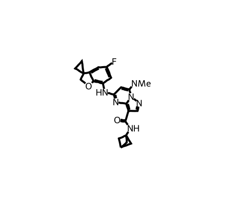 CNc1cc(Nc2cc(F)cc3c2OCC32CC2)nc2c(C(=O)NC34CC(C3)C4)cnn12